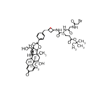 CC(C)(C)OC(=O)CC[C@H](NC(=O)CNC(=O)CBr)C(=O)NC12CC(Cc3ccc([C@@H]4O[C@@H]5C[C@H]6[C@@H]7CCC8=CC(=O)C=C[C@]8(C)[C@@]7(F)[C@@H](O)C[C@]6(C)[C@]5(C(=O)CO)O4)cc3)(C1)C2